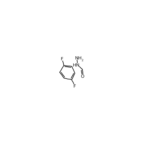 Fc1ccc(F)cc1.NNC=O